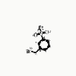 CCS(=O)(=O)c1cccc(CBr)c1